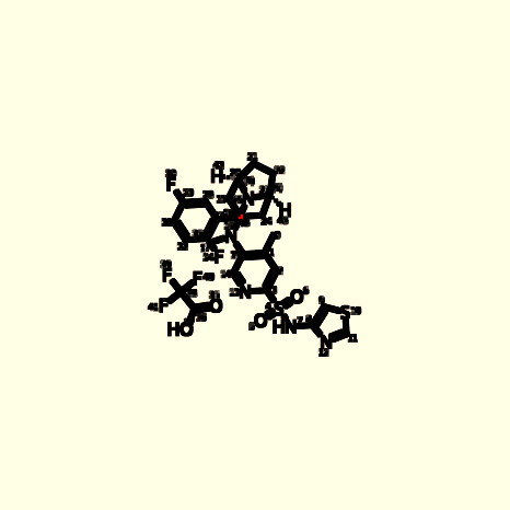 Cc1cc(S(=O)(=O)Nc2cscn2)ncc1N(C)C1C[C@H]2CC[C@@H](C1)N2Cc1cc(F)ccc1F.O=C(O)C(F)(F)F